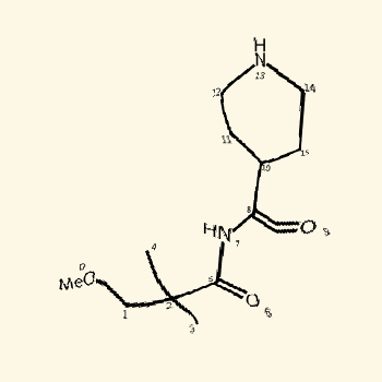 COCC(C)(C)C(=O)NC(=O)C1CCNCC1